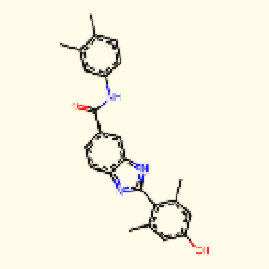 Cc1ccc(NC(=O)c2ccc3nc(-c4c(C)cc(O)cc4C)[nH]c3c2)cc1C